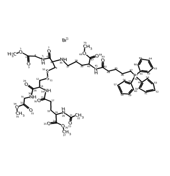 COC(=O)CNC(=O)C(CSSCC(NC(=O)CCC(NC(C)=O)C(=O)OC)C(=O)NCC(=O)OC)NCCCC(NC(=O)CCCC[P+](c1ccccc1)(c1ccccc1)c1ccccc1)C(=O)OC.[Br-]